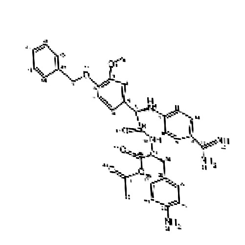 COc1cc([C@@H](Nc2ccc(C(=N)N)cc2)C(=O)N[C@@H](Cc2ccc(N)cc2)C(=O)OC(C)=O)ccc1OCc1ccccc1